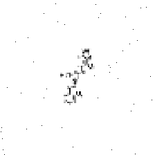 COc1ccccc1CCNCCCCC(=O)c1cccs1.Cl